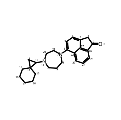 O=C1Cc2ccc(N3CCCN(C4CC45CCCCC5)CC3)c3cccc1c23